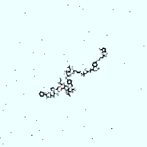 CC[C@H](C)[C@@H](CCC(=O)N1CCC[C@H]1[C@H](OC)[C@@H](C)C(=O)N[C@H](C)[C@@H](O)c1ccccc1)N(C)C(=O)[C@@H](NC(=O)[C@H](C(C)C)N(C)C(=O)OCc1ccc(NC(=O)[C@H](C)NC(=O)[C@@H](NC(=O)CCSSC(C)(C)CC(=O)N/N=C2\CCN(C)c3cc(OCCCC(=O)ON4C(=O)CCC4=O)ccc32)C(C)C)cc1)C(C)C